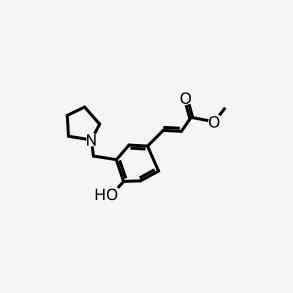 COC(=O)/C=C/c1ccc(O)c(CN2CCCC2)c1